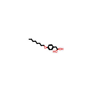 CCCCCCCCOc1ccc(CC(O)O)cc1